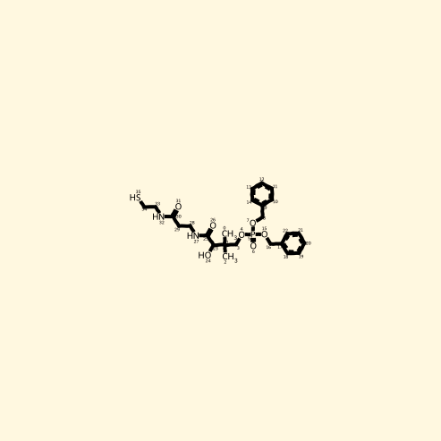 CC(C)(COP(=O)(OCc1ccccc1)OCc1ccccc1)C(O)C(=O)NCCC(=O)NCCS